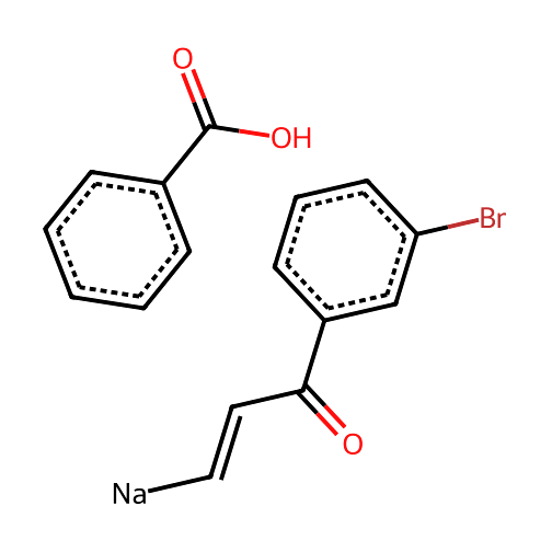 O=C(C=[CH][Na])c1cccc(Br)c1.O=C(O)c1ccccc1